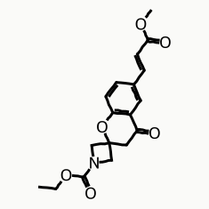 CCOC(=O)N1CC2(CC(=O)c3cc(/C=C/C(=O)OC)ccc3O2)C1